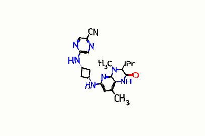 Cc1cc(N[C@H]2C[C@@H](Nc3cnc(C#N)cn3)C2)nc2c1NC(=O)C(C(C)C)N2C